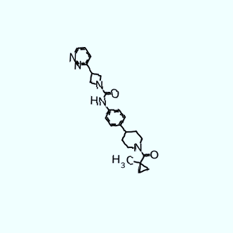 CC1(C(=O)N2CCC(c3ccc(NC(=O)N4CC(c5cccnn5)C4)cc3)CC2)CC1